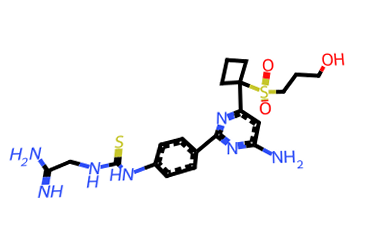 N=C(N)CNC(=S)Nc1ccc(-c2nc(N)cc(C3(S(=O)(=O)CCCO)CCC3)n2)cc1